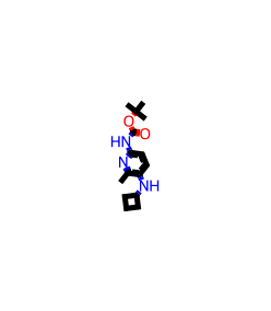 Cc1nc(NC(=O)OC(C)(C)C)ccc1NC1CCC1